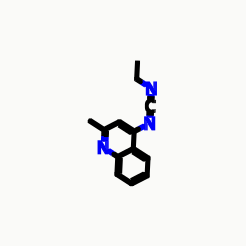 CCN=C=Nc1cc(C)nc2ccccc12